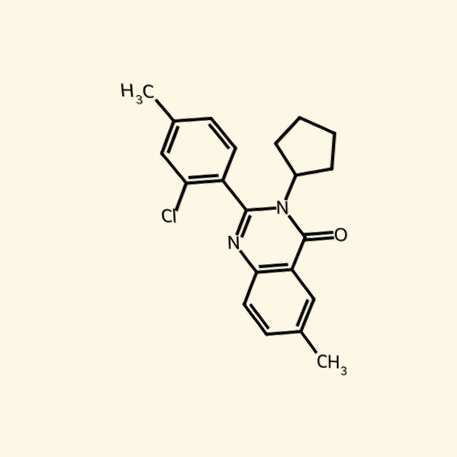 Cc1ccc(-c2nc3ccc(C)cc3c(=O)n2C2CCCC2)c(Cl)c1